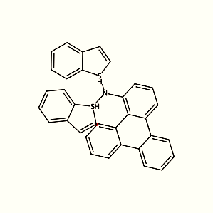 C1=C[SH](N(c2cccc3c4ccccc4c4ccccc4c23)[SH]2C=Cc3ccccc32)c2ccccc21